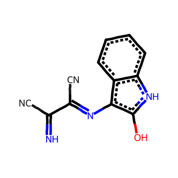 N#CC(=N)C(C#N)=Nc1c(O)[nH]c2ccccc12